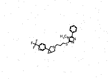 Cn1c(SCCCN2CC3CC3(c3ccc(C(F)(F)F)nc3)C2)nnc1-c1ccccc1